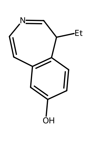 CCC1C=NC=Cc2cc(O)ccc21